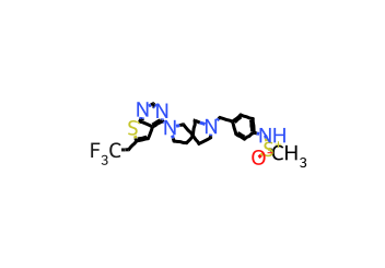 C[S+]([O-])Nc1ccc(CN2CCC3(CCN(c4ncnc5sc(CC(F)(F)F)cc45)C3)C2)cc1